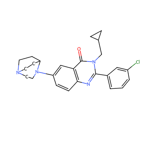 O=c1c2cc(N3CCN4CCC3CC4)ccc2nc(-c2cccc(Cl)c2)n1CC1CC1